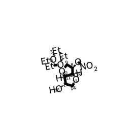 CCOCC.CCOCC.O=[N+]([O-])O[C@@H]1CO[C@H]2[C@@H]1OC[C@@H]2O